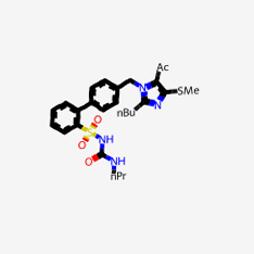 CCCCc1nc(SC)c(C(C)=O)n1Cc1ccc(-c2ccccc2S(=O)(=O)NC(=O)NCCC)cc1